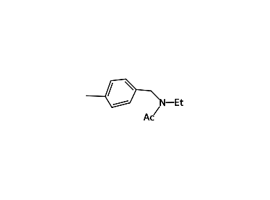 CCN(Cc1ccc(C)cc1)C(C)=O